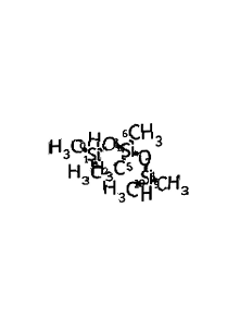 C[SiH](C)O[Si](C)(C)O[SiH](C)C